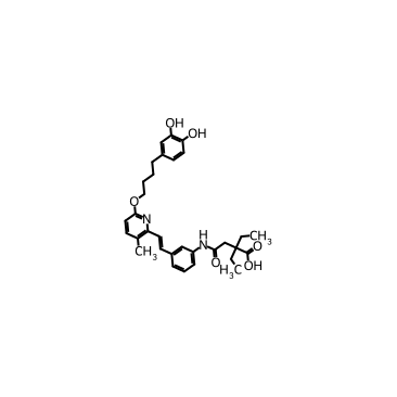 CCC(CC)(CC(=O)Nc1cccc(C=Cc2nc(OCCCCc3ccc(O)c(O)c3)ccc2C)c1)C(=O)O